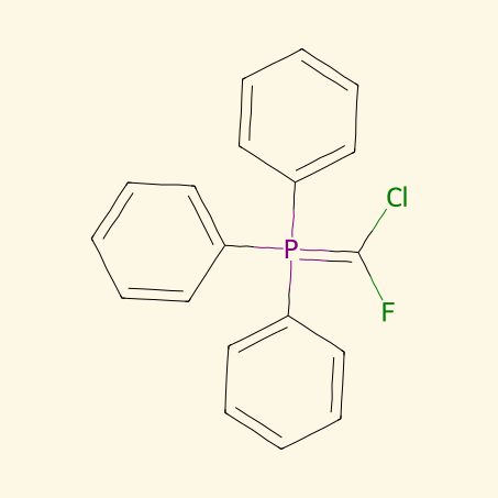 FC(Cl)=P(c1ccccc1)(c1ccccc1)c1ccccc1